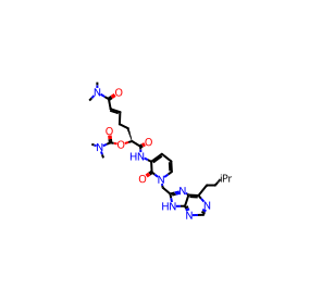 CC(C)CCc1ncnc2[nH]c(Cn3cccc(NC(=O)[C@H](CC/C=C/C(=O)N(C)C)OC(=O)N(C)C)c3=O)nc12